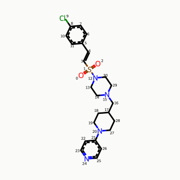 O=S(=O)(C=Cc1ccc(Cl)cc1)N1CCN(CC2CCN(c3ccncc3)CC2)CC1